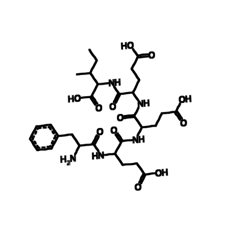 CCC(C)C(NC(=O)C(CCC(=O)O)NC(=O)C(CCC(=O)O)NC(=O)C(CCC(=O)O)NC(=O)C(N)Cc1ccccc1)C(=O)O